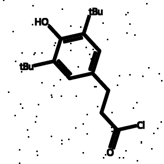 CC(C)(C)c1cc(CCC(=O)Cl)cc(C(C)(C)C)c1O